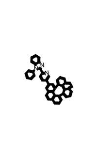 c1ccc(-n2c(-c3ccc(-c4cc5ccc6cccc7c8cccc9ccc%10cccc(c(c4)c5c67)c%10c98)cn3)nc3ccccc32)cc1